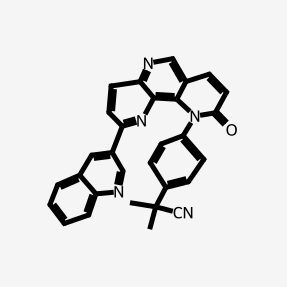 CC(C)(C#N)c1ccc(-n2c(=O)ccc3cnc4ccc(-c5cnc6ccccc6c5)nc4c32)cc1